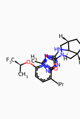 Cc1noc(N2C[C@H]3CC[C@@H](C2)[C@@H]3Nc2nc3c(C(C)C)ccc(O[C@@H](C)C(F)(F)F)n3n2)n1